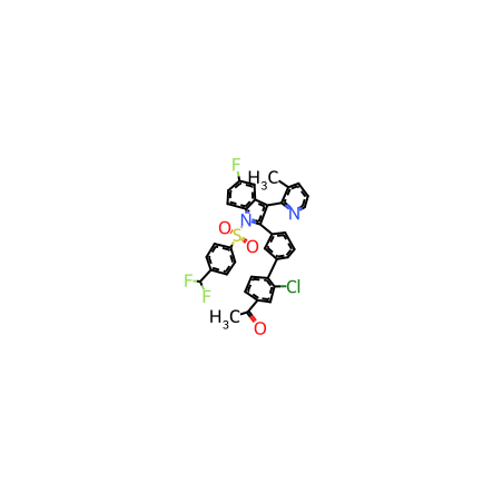 CC(=O)c1ccc(-c2cccc(-c3c(-c4ncccc4C)c4cc(F)ccc4n3S(=O)(=O)c3ccc(C(F)F)cc3)c2)c(Cl)c1